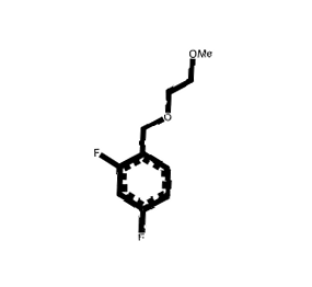 COCCOCc1ccc(F)cc1F